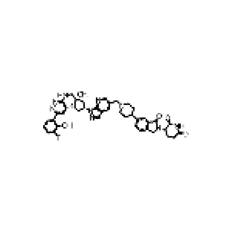 C[C@@]12CNc3nnc(-c4cccc(F)c4O)cc3N1C[C@H](n1ncc3cc(CN4CCC(c5ccc6c(c5)C(=O)N([C@H]5CCC(=O)NC5=O)C6)CC4)cnc31)C2